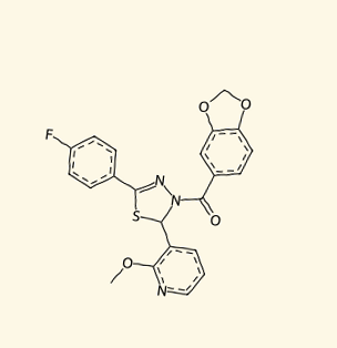 COc1ncccc1C1SC(c2ccc(F)cc2)=NN1C(=O)c1ccc2c(c1)OCO2